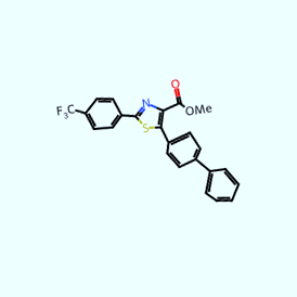 COC(=O)c1nc(-c2ccc(C(F)(F)F)cc2)sc1-c1ccc(-c2ccccc2)cc1